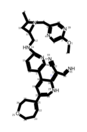 COc1cnc(CN2C(C)CC2CNc2ccc(C3=CC(C4=CCCOCC4)=CN/C3=C(/C#N)C=N)cn2)cn1